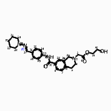 O=C(CN1CCc2ccc(C(=O)Nc3ccc(/C=N/N4CCCCC4)cc3)cc2C1)OCCO